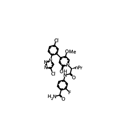 CCC[C@@H](C(=O)Nc1ccc(C(N)=O)c(F)c1)n1cc(OC)c(-c2cc(Cl)ccc2-n2cc(Cl)nn2)cc1=O